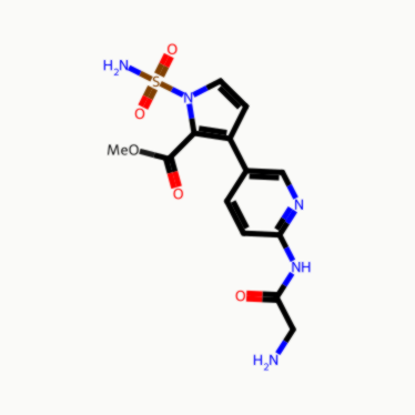 COC(=O)c1c(-c2ccc(NC(=O)CN)nc2)ccn1S(N)(=O)=O